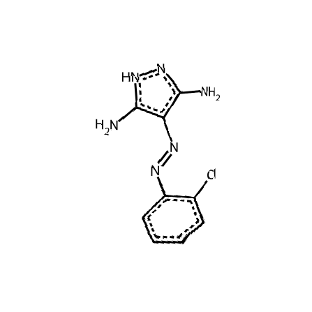 Nc1n[nH]c(N)c1N=Nc1ccccc1Cl